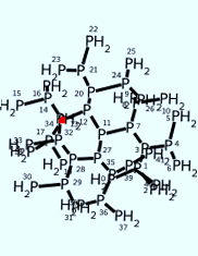 PP(P)P(P(P)P)P(P(P)P)P(P(P(P(P)P)P(P)P)P(P(P)P)P(P)P)P(P(P(P)P)P(P)P)P(P(P)P)P(P)P